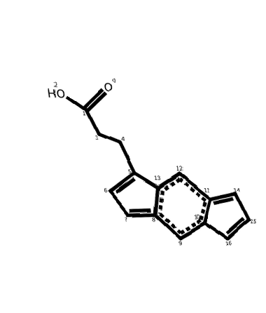 O=C(O)CCC1=CC=c2cc3c(cc21)=CC=C3